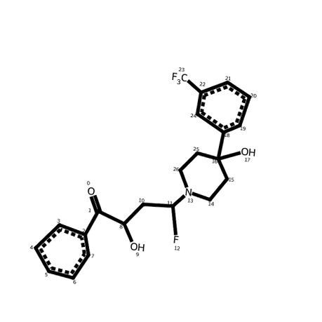 O=C(c1ccccc1)C(O)CC(F)N1CCC(O)(c2cccc(C(F)(F)F)c2)CC1